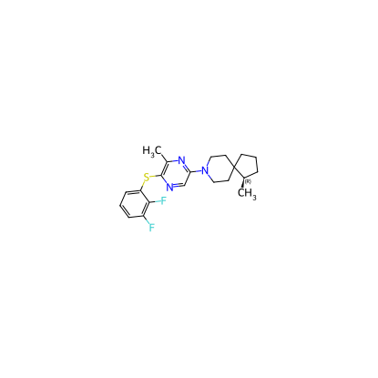 Cc1nc(N2CCC3(CCC[C@H]3C)CC2)cnc1Sc1cccc(F)c1F